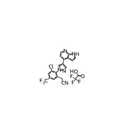 N#CCc1cc(C(F)(F)F)cc(Cl)c1-n1cc(-c2ccnc3[nH]ccc23)cn1.O=C(O)C(F)(F)F